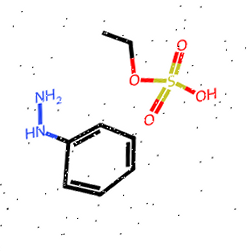 CCOS(=O)(=O)O.NNc1ccccc1